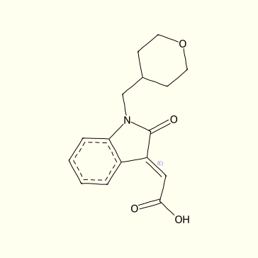 O=C(O)/C=C1/C(=O)N(CC2CCOCC2)c2ccccc21